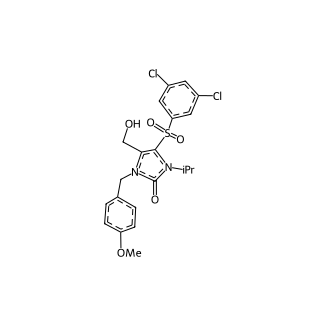 COc1ccc(Cn2c(CO)c(S(=O)(=O)c3cc(Cl)cc(Cl)c3)n(C(C)C)c2=O)cc1